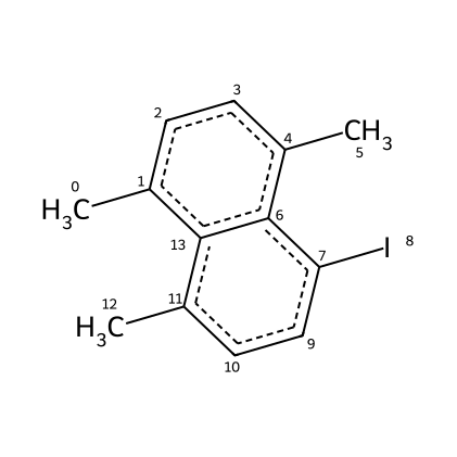 Cc1ccc(C)c2c(I)ccc(C)c12